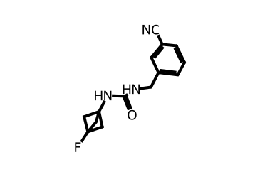 N#Cc1cccc(CNC(=O)NC23CC(F)(C2)C3)c1